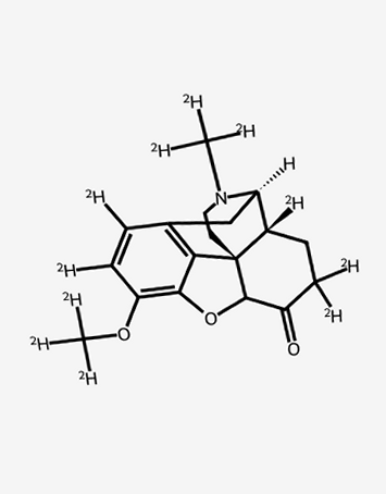 [2H]c1c([2H])c(OC([2H])([2H])[2H])c2c3c1C[C@H]1N(C([2H])([2H])[2H])CC[C@@]34C(O2)C(=O)C([2H])([2H])C[C@@]14[2H]